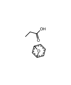 CCC(=O)O.c1cc2cc(c1)O2